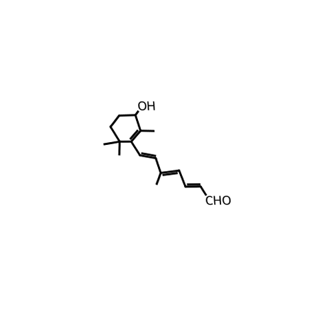 CC1=C(/C=C/C(C)=C/C=C/C=O)C(C)(C)CCC1O